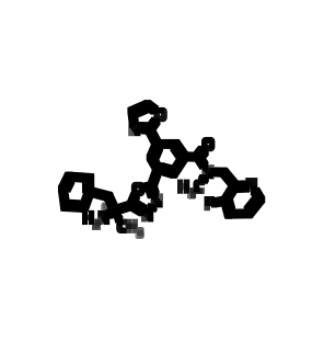 CN(Cc1ncccc1F)C(=O)c1cc(-c2ncco2)cc(-c2nnc([C@](C)(N)Cc3ccccc3)o2)c1